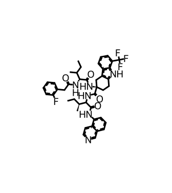 CCC(C)[C@H](NC(=O)Cc1ccccc1F)C(=O)N[C@]1(C(=O)NC(C(=O)Nc2cccc3cnccc23)[C@@H](C)CC)CCc2[nH]c3c(C(F)(F)F)cccc3c2C1